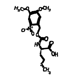 COc1cc(COC(=O)N[C@@H](CCSC)C(=O)O)c([N+](=O)[O-])cc1OC